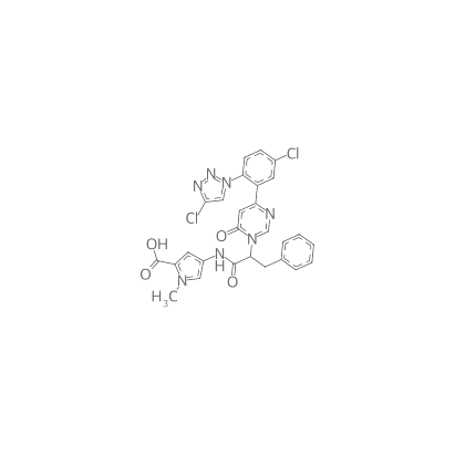 Cn1cc(NC(=O)C(Cc2ccccc2)n2cnc(-c3cc(Cl)ccc3-n3cc(Cl)nn3)cc2=O)cc1C(=O)O